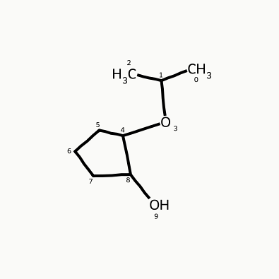 CC(C)OC1CCCC1O